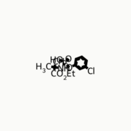 CCOC(=O)C(C)(C)NP(=O)(O)Oc1cccc(Cl)c1